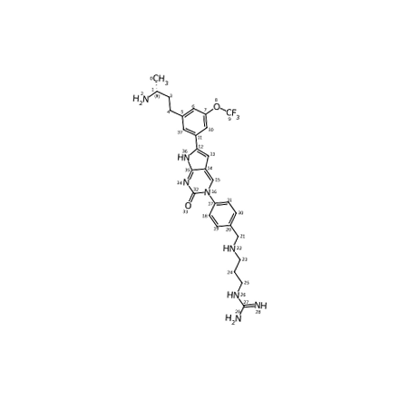 C[C@@H](N)CCc1cc(OC(F)(F)F)cc(-c2cc3cn(-c4ccc(CNCCCNC(=N)N)cc4)c(=O)nc3[nH]2)c1